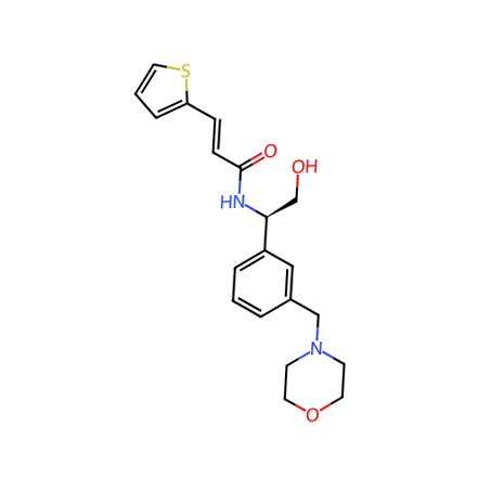 O=C(C=Cc1cccs1)N[C@@H](CO)c1cccc(CN2CCOCC2)c1